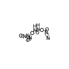 C[C@@H]1COCCN1c1nc(-c2ccc(NC(=O)Nc3ccc(C(=O)N4CCC(N(C)C)CC4)cc3)cc2)nn2cccc12